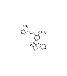 COc1ccc(NC2(C(=O)O)Cc3ccccc3C2)cc1OCCc1scnc1C